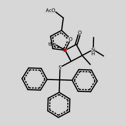 CC(=O)OCc1ccc(C2(SC(c3ccccc3)(c3ccccc3)c3ccccc3)N(C(C)(C)C)C(=O)C2(C)[SiH](C)C)o1